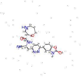 Cn1c(=O)oc2ccc(-c3ccc(C[C@@H](C#N)NC(=O)[C@@H]4CNCCCO4)nn3)cc21